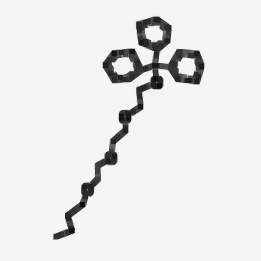 CCCCOCCOCCOCCOC(c1ccccc1)(c1ccccc1)c1ccccc1